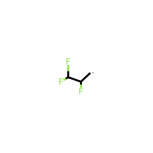 [CH2]C(F)C(F)F